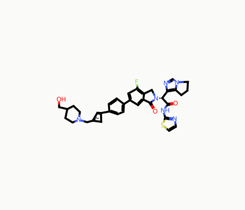 O=C(Nc1nccs1)[C@@H](c1ncn2c1CCC2)N1Cc2c(F)cc(-c3ccc(C45CC(CN6CCC(CO)CC6)(C4)C5)cc3)cc2C1=O